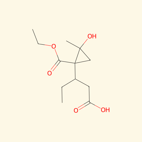 CCOC(=O)C1(C(CC)CC(=O)O)CC1(C)O